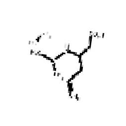 C=CCC(CC(=O)O)NN(C)C.O=S(=O)(O)O